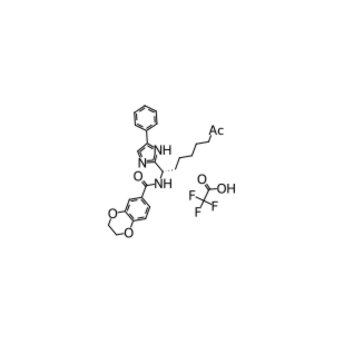 CC(=O)CCCCC[C@H](NC(=O)c1ccc2c(c1)OCCO2)c1ncc(-c2ccccc2)[nH]1.O=C(O)C(F)(F)F